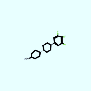 CCCC1CCC([C@H]2CC[C@H](c3cc(F)c(F)c(F)c3)CC2)CC1